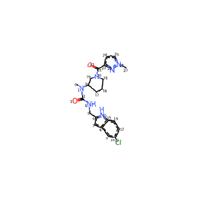 CN(C(=O)NCc1cc2cc(Cl)ccc2[nH]1)C1CCCN(C(=O)c2ccn(C)n2)C1